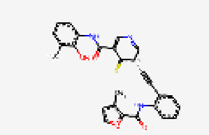 Cc1ccoc1C(=O)Nc1ccccc1C#C[C@H]1C=NC=C(C(=O)Nc2cccc(C)c2O)C1=S